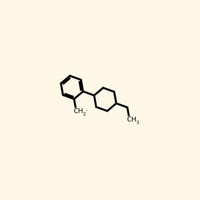 [CH2]c1ccccc1C1CCC(CC)CC1